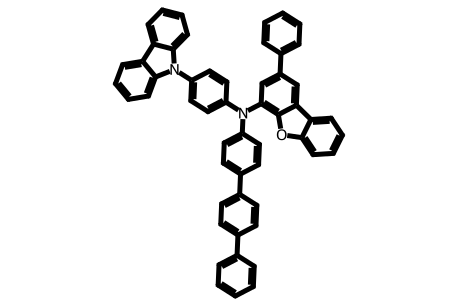 c1ccc(-c2ccc(-c3ccc(N(c4ccc(-n5c6ccccc6c6ccccc65)cc4)c4cc(-c5ccccc5)cc5c4oc4ccccc45)cc3)cc2)cc1